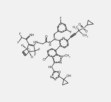 Cn1nc(Nc2nnc(C3(O)CC3)o2)c2c(Cl)ccc(-c3ccc(C#CC(C)(C)S(=O)(=O)C4CC4)nc3[C@H](Cc3cc(F)cc(F)c3)NC(=O)CNC3=C(C(=N)C(F)F)[C@H]4C#C[C@H]4C3(F)F)c21